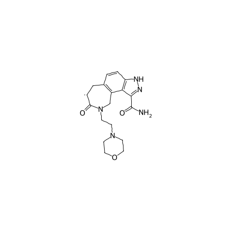 NC(=O)c1n[nH]c2ccc3c(c12)CN(CCN1CCOCC1)C(=O)[CH]C3